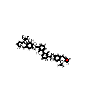 Cc1c(-c2nc3cc(CN4CC5CC4C5)c(OC(F)F)cc3o2)cccc1-c1cccc(-c2nc3cc(CN4CCC[C@H]4C(=O)O)c(OC(F)F)cc3o2)c1C